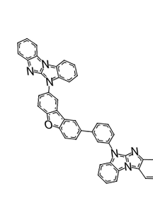 C1=Cc2c(nc3n(-c4cccc(-c5ccc6oc7ccc(-n8c9ccccc9n9c%10ccccc%10nc89)cc7c6c5)c4)c4ccccc4n23)CC1